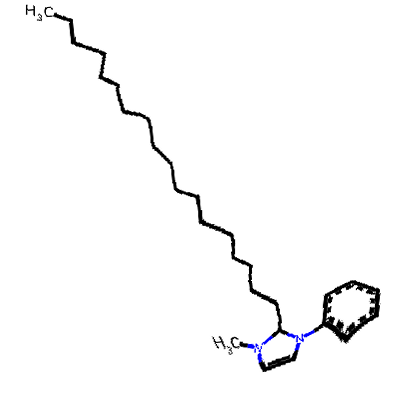 CCCCCCCCCCCCCCCCCCC1N(C)C=CN1c1ccccc1